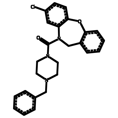 O=C(N1CCN(Cc2ccccc2)CC1)N1Cc2ccccc2Oc2ccc(Cl)cc21